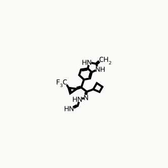 C=C1NC2=CCC(C(/C(=N\NC=N)C3CCC3)=C3C=C/3C(F)(F)F)C=C2N1